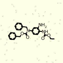 CCOC(=O)Nc1ccc(N(Cc2ccccc2)C(=O)OCc2ccccc2)cc1N